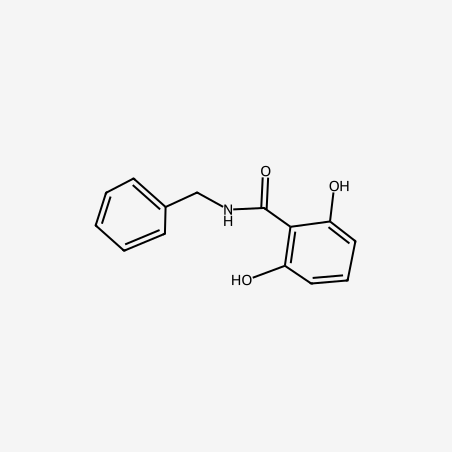 O=C(NCc1ccccc1)c1c(O)cccc1O